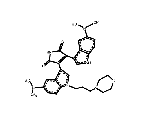 CN(C)c1ccc2[nH]cc(C3=C(c4cn(CCCN5CCOCC5)c5ccc(N(C)C)cc45)C(=O)NC3=O)c2c1